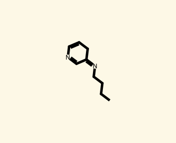 CCCCN=C1C=NC=CC1